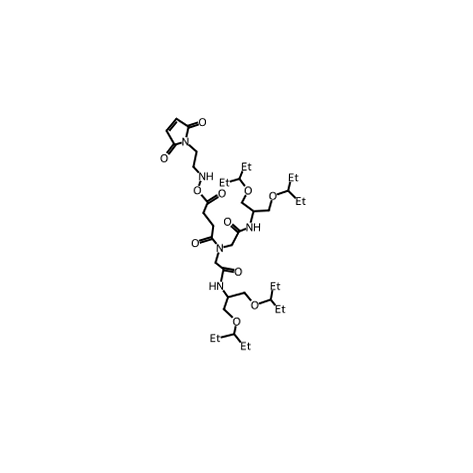 CCC(CC)OCC(COC(CC)CC)NC(=O)CN(CC(=O)NC(COC(CC)CC)COC(CC)CC)C(=O)CCC(=O)ONCCN1C(=O)C=CC1=O